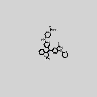 O=C(O)N1CCC(Nc2ccc(/C(=C(/CC(F)(F)F)c3ccccc3)c3ccc4c(c3)c(F)nn4C3CCCCO3)cn2)CC1